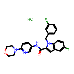 Cl.O=C(Nc1ccc(N2CCOCC2)nc1)c1cc2cc(F)ccc2n1Cc1cccc(F)c1